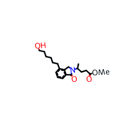 COC(=O)CCC(C)N1Cc2c(CCCCCCO)cccc2C1=O